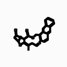 CC(CC=S)=C1OC2CC(=O)N2C1C(=O)OCc1cccc2cc3ccccc3cc12